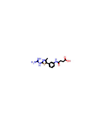 Cc1nc(NC(=N)N)sc1-c1cccc(NC(=O)CCC(=O)O)c1